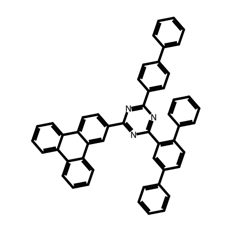 c1ccc(-c2ccc(-c3nc(-c4ccc5c6ccccc6c6ccccc6c5c4)nc(-c4cc(-c5ccccc5)ccc4-c4ccccc4)n3)cc2)cc1